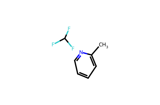 Cc1ccccn1.FC(F)F